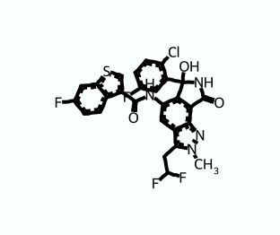 Cn1nc2c3c(c(NC(=O)c4csc5cc(F)ccc45)cc2c1CC(F)F)C(O)(c1cc(F)ccc1Cl)NC3=O